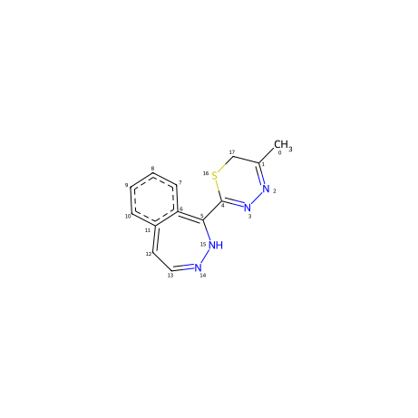 CC1=NN=C(C2=c3ccccc3=CC=NN2)SC1